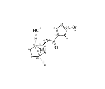 Cl.O=C(N[C@H]1C[C@H]2CC[C@@H]1N2)c1ccc(Br)s1